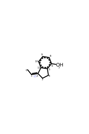 C/C=C1/CCc2c(O)cccc21